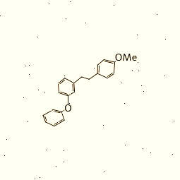 COc1ccc(CCc2[c]ccc(Oc3ccccc3)c2)cc1